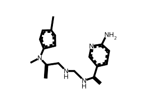 C=C(NCNCC(=C)N(C)c1ccc(C)cc1)c1ccc(N)nc1